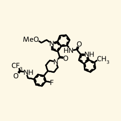 COCCn1cc(C(=O)N2CCC(c3cc(CNC(=O)C(F)(F)F)ccc3F)CC2)c2c(NC(=O)c3cc4cccc(C)c4[nH]3)cccc21